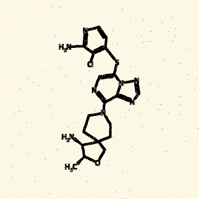 C[C@@H]1OCC2(CCN(c3ncc(Sc4ccnc(N)c4Cl)n4ncnc34)CC2)[C@@H]1N